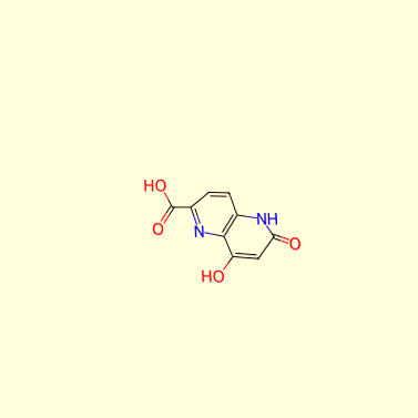 O=C(O)c1ccc2[nH]c(=O)cc(O)c2n1